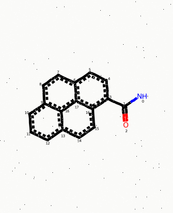 [NH]C(=O)c1ccc2ccc3cccc4ccc1c2c34